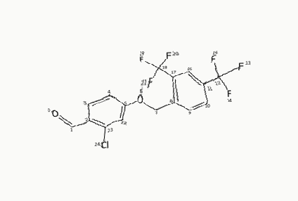 O=Cc1ccc(OCc2ccc(C(F)(F)F)cc2C(F)(F)F)cc1Cl